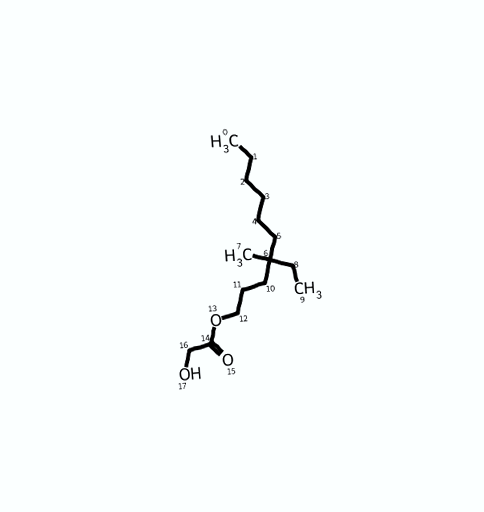 CCCCCCC(C)(CC)CCCOC(=O)CO